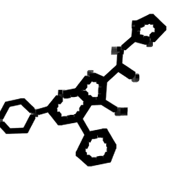 O=C(Nc1nccs1)c1sc2nc(N3CCOCC3)cc(-c3ccccc3)c2c1O